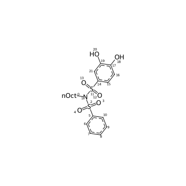 CCCCCCCCN(S(=O)(=O)c1ccccc1)S(=O)(=O)c1ccc(O)c(O)c1